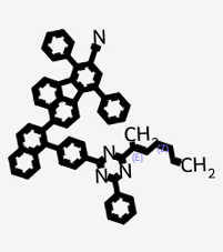 C=C/C=C\C=C(/C)c1nc(-c2ccccc2)nc(-c2ccc(-c3c(-c4ccc5c6c(cccc46)-c4c(-c6ccccc6)c(C#N)cc(-c6ccccc6)c4-5)ccc4ccccc34)cc2)n1